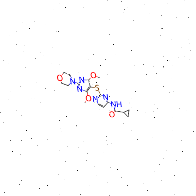 COc1nc(N2CCOCC2)nc(OC)c1Sc1nccc(NC(=O)C2CC2)n1